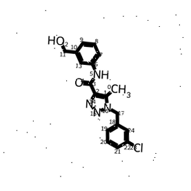 Cc1c(C(=O)Nc2cccc(CO)c2)nnn1Cc1cccc(Cl)c1